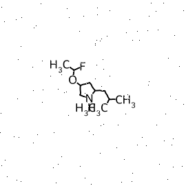 CC(C)CC1CC(OC(C)F)CN1C